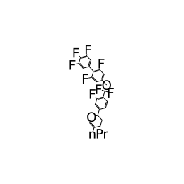 CCCC1=COC(c2ccc(C(F)(F)Oc3cc(F)c(-c4cc(F)c(F)c(F)c4)c(F)c3)c(F)c2)CC1